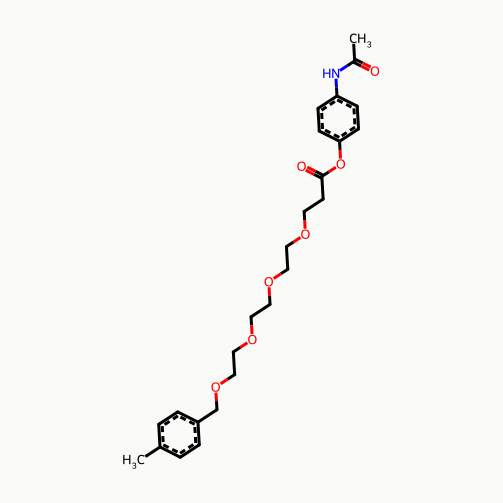 CC(=O)Nc1ccc(OC(=O)CCOCCOCCOCCOCc2ccc(C)cc2)cc1